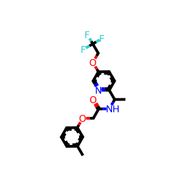 Cc1cccc(OCC(=O)NC(C)c2ccc(OCC(F)(F)F)cn2)c1